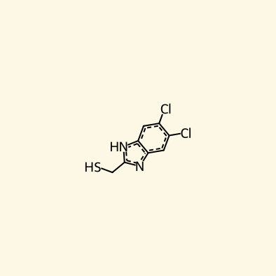 SCc1nc2cc(Cl)c(Cl)cc2[nH]1